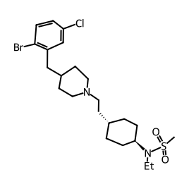 CCN([C@H]1CC[C@H](CCN2CCC(Cc3cc(Cl)ccc3Br)CC2)CC1)S(C)(=O)=O